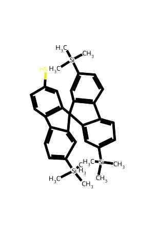 C[Si](C)(C)c1ccc2c(c1)C1(c3cc(S)ccc3-2)c2cc([Si](C)(C)C)ccc2-c2ccc([Si](C)(C)C)cc21